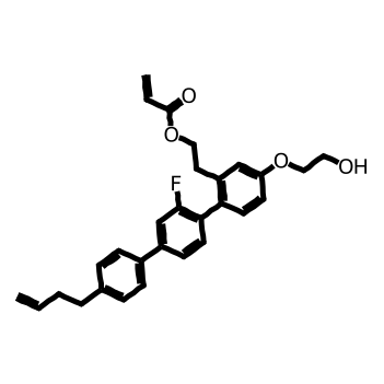 C=CCCc1ccc(-c2ccc(-c3ccc(OCCO)cc3CCOC(=O)C=C)c(F)c2)cc1